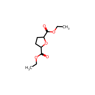 CCOC(=O)C1CCC(C(=O)OCC)O1